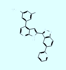 COc1cc(F)cc(-c2ccnc3[nH]c(-c4n[nH]c5ccc(-c6ccccn6)cc45)cc23)c1